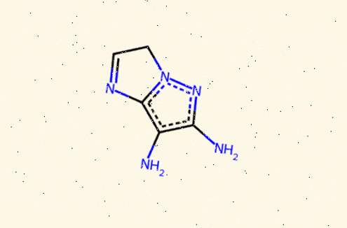 Nc1nn2c(c1N)N=CC2